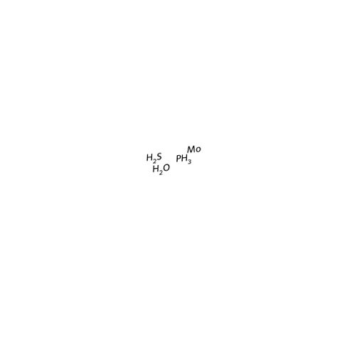 O.P.S.[Mo]